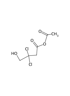 CC(=O)OC(=O)CC(Cl)(Cl)CO